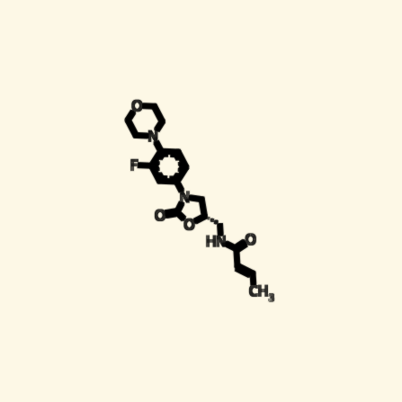 C/C=C/C(=O)NC[C@H]1CN(c2ccc(N3CCOCC3)c(F)c2)C(=O)O1